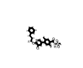 Cc1cc(C(=O)NS(C)(=O)=O)c(F)cc1-c1cnc(O[C@H](C)CCc2ccccc2)c(Cl)c1